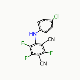 N#Cc1c(F)c(F)c(Nc2ccc(Cl)cc2)c(C#N)c1F